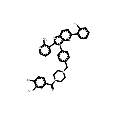 N#Cc1ccccc1-c1ccc2nc(-c3cccnc3N)n(-c3ccc(CN4CCN(C(=O)c5ccc(O)c(C=O)c5)CC4)cc3)c2n1